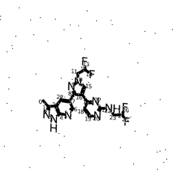 Cc1n[nH]c2ncc(-c3nn(CC(F)F)cc3-c3ccnc(NCC(F)F)n3)cc12